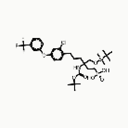 CC(C)(C)OC(=O)NC(CCCc1ccc(Oc2cccc(C(F)(F)F)c2)cc1Cl)(CCP(=O)(O)O)CO[Si](C)(C)C(C)(C)C